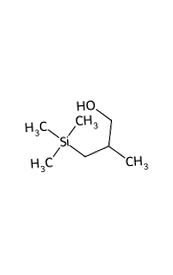 CC(CO)C[Si](C)(C)C